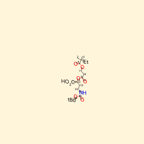 CCC(C)(C)C(=O)OCCC(=O)OC(CCNC(=O)OC(C)(C)C)C(=O)O